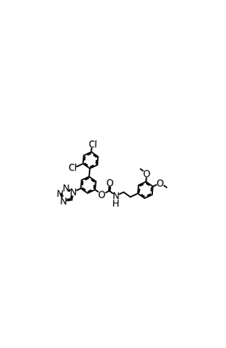 COc1ccc(CCNC(=O)Oc2cc(-c3ccc(Cl)cc3Cl)cc(-n3cnnn3)c2)cc1OC